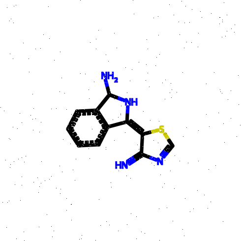 N=C1N=CSC1=C1NC(N)c2ccccc21